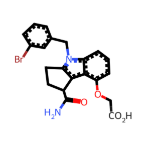 NC(=O)C1CCc2c1c1c(OCC(=O)O)cccc1n2Cc1cccc(Br)c1